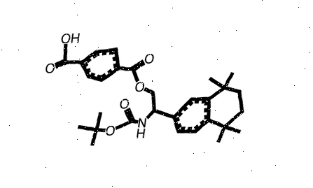 CC(C)(C)OC(=O)NC(COC(=O)c1ccc(C(=O)O)cc1)c1ccc2c(c1)C(C)(C)CCC2(C)C